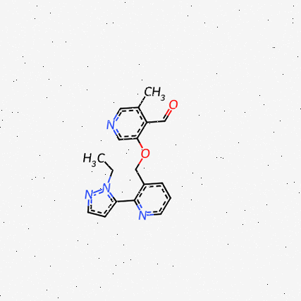 CCn1nccc1-c1ncccc1COc1cncc(C)c1C=O